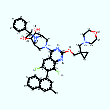 Cc1cc(-c2c(F)cc3c(N4CC5C(O)C(O)C(C4)N5C(C)(C)c4ccccc4)nc(OCC4(CN5CCOCC5)CC4)nc3c2F)c2ccccc2c1